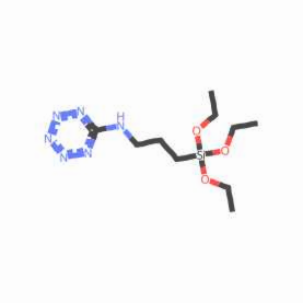 CCO[Si](CCCNc1nnnnn1)(OCC)OCC